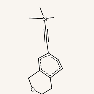 C[Si](C)(C)C#Cc1ccc2c(c1)COCC2